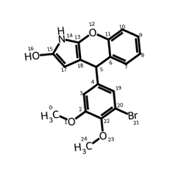 COc1cc(C2c3ccccc3Oc3[nH]c(O)cc32)cc(Br)c1OC